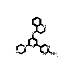 Nc1ncc(-c2cc(SC3CCOc4ccccc43)cc(N3CCOCC3)n2)cn1